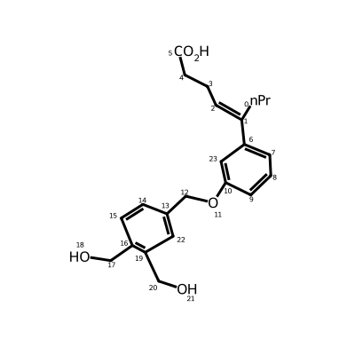 CCCC(=CCCC(=O)O)c1cccc(OCc2ccc(CO)c(CO)c2)c1